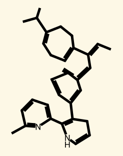 C=c1ccc(C2=C(c3cccc(C)n3)NC=CC2)c/c1=C/C(=C\C)C1=CCC=C(C(C)C)CC1